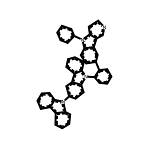 c1ccc(-n2c3ccncc3c3cc(-c4ccccc4-n4c5ccccc5c5cc(-n6c7ccccc7c7ccccc76)ccc54)ccc32)cc1